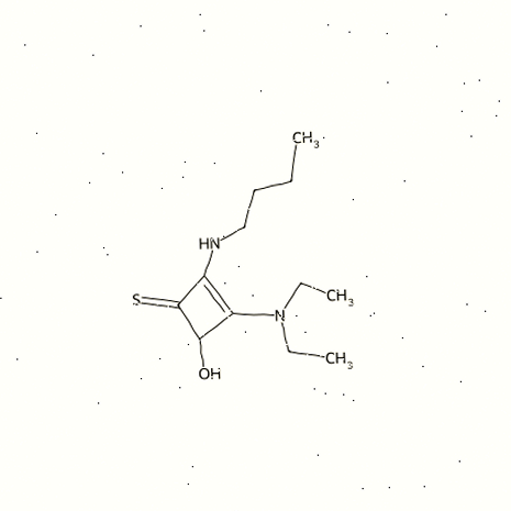 CCCCNC1=C(N(CC)CC)C(O)C1=S